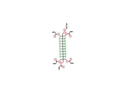 C=C=COOCC(COC(=O)C=C)(COC(=O)C=C)C(F)(F)C(F)(F)C(F)(F)C(F)(F)C(F)(F)C(F)(F)C(F)(F)C(F)(F)C(COC(=O)C=C)(COC(=O)C=C)COC(=O)C=C